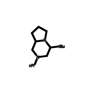 CCCN1CC2CCCN2C(C(C)(C)C)C1